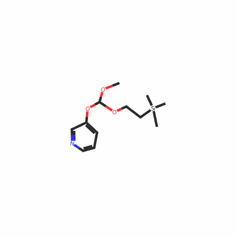 COC(OCC[Si](C)(C)C)Oc1cccnc1